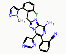 Cn1nccc1-c1cccc(F)c1Cc1nc2c(N)nc(-c3ccccc3C#N)c(-c3ccncn3)n2n1